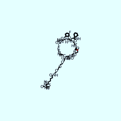 C[C@H]1NC(=O)[C@H]2CCCN2C(=O)[C@@H](CO)NC(=O)[C@@H](NC(=O)COCCOCCOCCNC(=O)CCCCC2SC[C@@H]3NC(=O)N[C@H]23)Cc2cn(nn2)CCCC[C@@H](C(N)=O)NC(=O)[C@H](Cc2ccc(F)cc2)NC(=O)[C@@H](Cc2c[nH]c3ccccc23)NC1=O